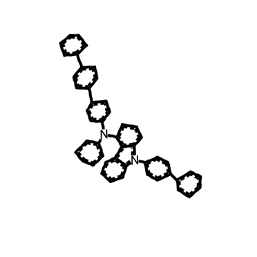 c1ccc(-c2ccc(-c3ccc(N(c4ccccc4)c4cccc5c4c4ccccc4n5-c4ccc(-c5ccccc5)cc4)cc3)cc2)cc1